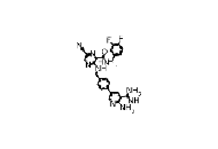 C[C@H](NC(=O)c1nc(C#N)cnc1NCc1ccc(-c2cnc(N)c(C(=N)N)c2)cc1)c1ccc(F)c(F)c1